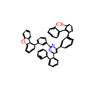 c1ccc(-c2ccccc2-c2cc(-c3cccc(-c4cccc5oc6ccccc6c45)c3)nc(-c3cccc(-c4cccc5oc6ccccc6c45)c3)n2)cc1